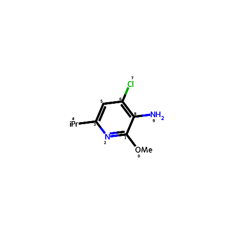 COc1nc(C(C)C)cc(Cl)c1N